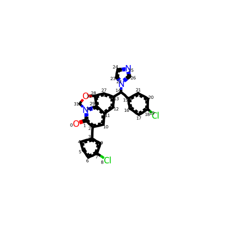 O=c1c(-c2cccc(Cl)c2)cc2cc(C(c3ccc(Cl)cc3)n3ccnc3)cc3c2n1CO3